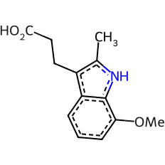 COc1cccc2c(CCC(=O)O)c(C)[nH]c12